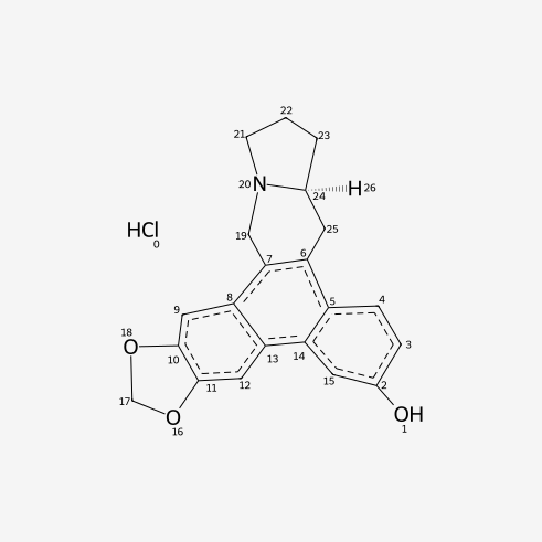 Cl.Oc1ccc2c3c(c4cc5c(cc4c2c1)OCO5)CN1CCC[C@H]1C3